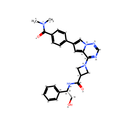 CN(C)C(=O)c1ccc(-c2cc3c(N4CC(C(=O)N[C@H](CO)c5ccccc5)C4)ncnn3c2)cc1